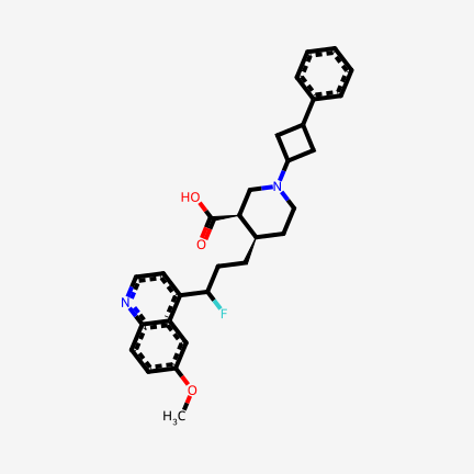 COc1ccc2nccc(C(F)CC[C@@H]3CCN(C4CC(c5ccccc5)C4)C[C@@H]3C(=O)O)c2c1